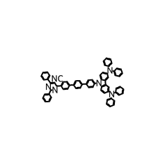 N#Cc1cc(-c2ccc(-c3ccc(-n4c5ccc(N(c6ccccc6)c6ccccc6)cc5c5cc(N(c6ccccc6)c6ccccc6)ccc54)cc3)cc2)ccc1-c1cc(-c2ccccc2)nc(-c2ccccc2)n1